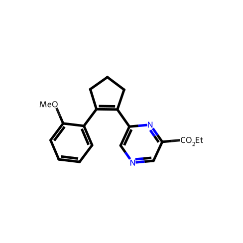 CCOC(=O)c1cncc(C2=C(c3ccccc3OC)CCC2)n1